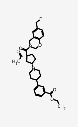 CCOC(=O)c1cccc(C2CCN([C@@H]3CC[C@](C(C)=O)(C(=O)N4COc5ccc(CF)cc5C4)C3)CC2)c1